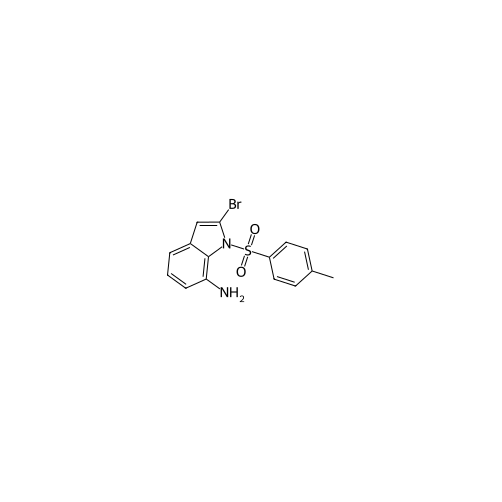 Cc1ccc(S(=O)(=O)n2c(Br)cc3cccc(N)c32)cc1